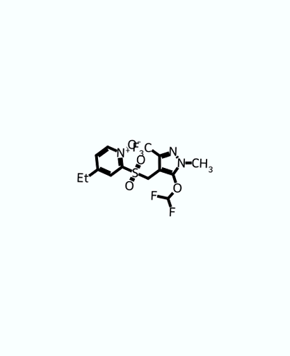 CCc1cc[n+]([O-])c(S(=O)(=O)Cc2c(C(F)(F)F)nn(C)c2OC(F)F)c1